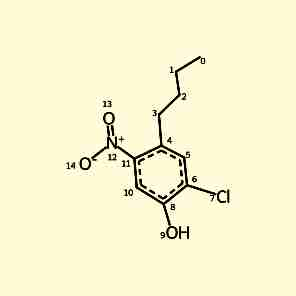 CCCCc1cc(Cl)c(O)cc1[N+](=O)[O-]